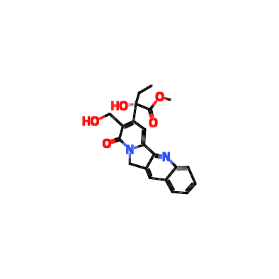 CC[C@@](O)(C(=O)OC)c1cc2n(c(=O)c1CO)Cc1cc3ccccc3nc1-2